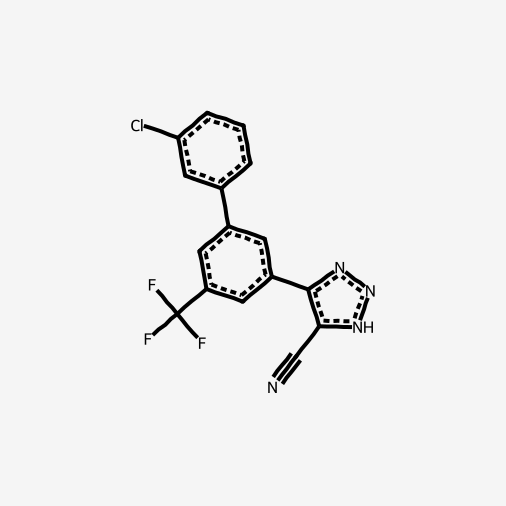 N#Cc1[nH]nnc1-c1cc(-c2cccc(Cl)c2)cc(C(F)(F)F)c1